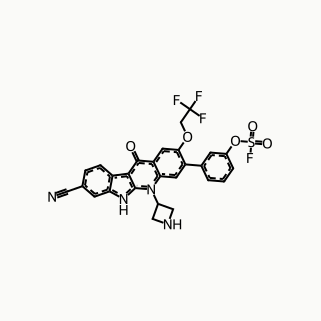 N#Cc1ccc2c(c1)[nH]c1c2c(=O)c2cc(OCC(F)(F)F)c(-c3cccc(OS(=O)(=O)F)c3)cc2n1C1CNC1